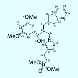 COc1cc([C@@H](O)[C@@H](CC2Cc3ccccc3C2)Cn2ccc(CCP(=O)(OC)OC)c2)cc(OC)c1C